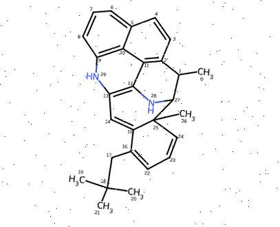 CC1c2ccc3cccc4c3c2C2=C(C=C3C(CC(C)(C)C)=CC=CC3(C)C1N2)N4